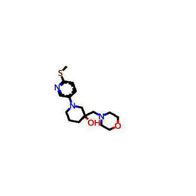 CSc1ccc(N2CCC[C@@](O)(CN3CCOCC3)C2)cn1